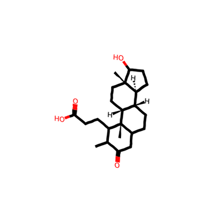 CC1C(=O)CC2CC[C@@H]3[C@@H](CC[C@]4(C)C(O)CC[C@@H]34)[C@@]2(C)C1CCC(=O)O